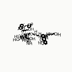 C=CCn1c(=O)n([C@@H]2O[C@H](CO)[C@@H](O)[C@H]2O)c2[nH]c(=N)nc(O)c21.CC[C@H](C)C(=O)O[C@H]1C[C@@H](C)C=C2C=C[C@H](C)[C@H](CC[C@@H]3C[C@@H](O)CC(=O)O3)[C@H]21.O=C1c2c(O)cccc2-c2nn(CCNCCO)c3ccc(NCCNCCO)c1c23